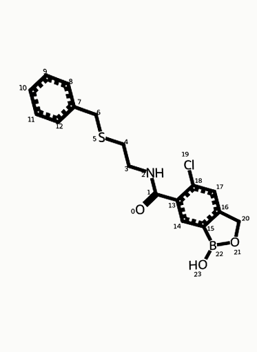 O=C(NCCSCc1ccccc1)c1cc2c(cc1Cl)COB2O